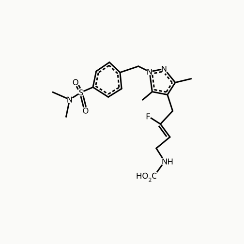 Cc1nn(Cc2ccc(S(=O)(=O)N(C)C)cc2)c(C)c1CC(F)=CCNC(=O)O